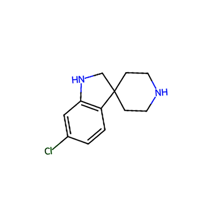 Clc1ccc2c(c1)NCC21CCNCC1